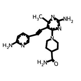 Cc1nc(N)nc(N2CCC(C(N)=O)CC2)c1C#Cc1ccc(N)nc1